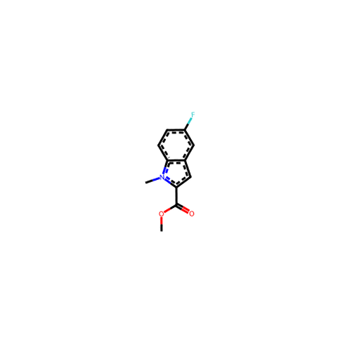 COC(=O)c1cc2cc(F)ccc2n1C